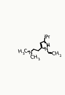 C=Cn1nc(C(C)C)cc1CCN(C)C